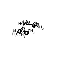 COC(CCc1ccc2c(N)ncnn12)COP(O)OCC(CC(C)(C)CC(C)(C)C)OCC1=CC(C)C=CC=C1